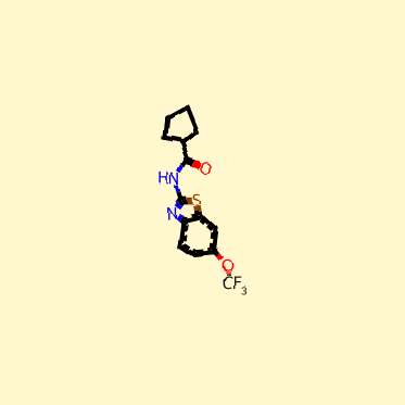 O=C(Nc1nc2ccc(OC(F)(F)F)cc2s1)C1CCCC1